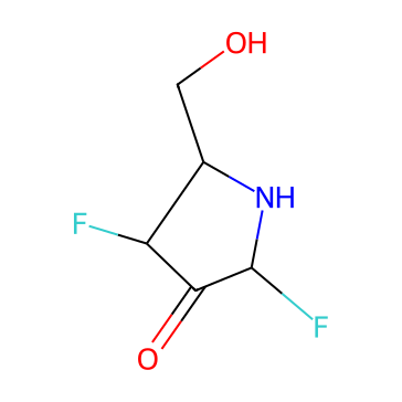 O=C1C(F)NC(CO)C1F